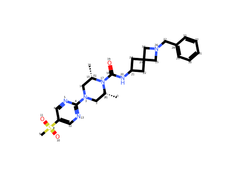 C[C@@H]1CN(c2ncc(S(C)(=O)=O)cn2)C[C@H](C)N1C(=O)NC1CC2(C1)CN(Cc1ccccc1)C2